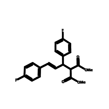 COC(=O)C(C(=O)OC)C(/C=C/c1ccc(F)cc1)c1ccc(F)cc1